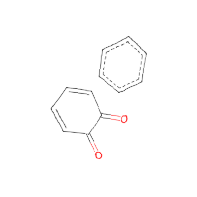 O=C1C=CC=CC1=O.c1ccccc1